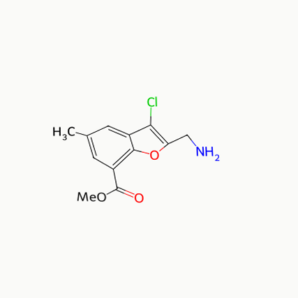 COC(=O)c1cc(C)cc2c(Cl)c(CN)oc12